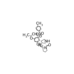 Cc1ccc(S(=O)(=O)Oc2cc(OC(C)C)cc(C)c2[C@@H]2CN[C@H](C(=O)N3CCC[C@H]3C#N)C2)cc1